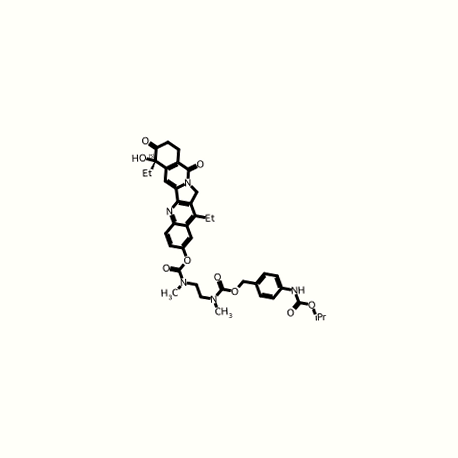 CCc1c2c(nc3ccc(OC(=O)N(C)CCN(C)C(=O)OCc4ccc(NC(=O)OC(C)C)cc4)cc13)-c1cc3c(c(=O)n1C2)CCC(=O)[C@]3(O)CC